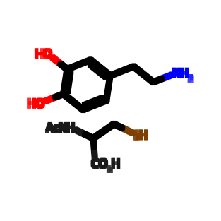 CC(=O)NC(CS)C(=O)O.NCCc1ccc(O)c(O)c1